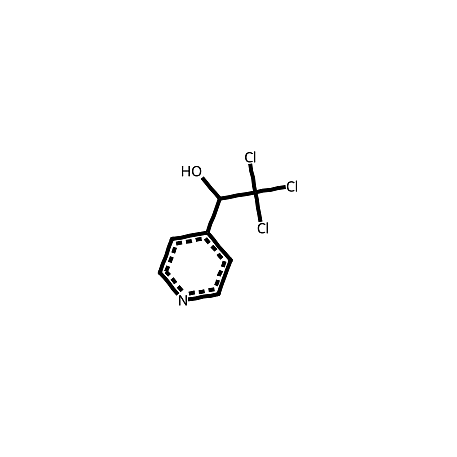 OC(c1ccncc1)C(Cl)(Cl)Cl